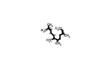 CC=C(C)CCC(C)[C](C)CCC=C(C)C